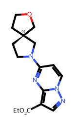 CCOC(=O)c1cnn2ccc(N3CC[C@]4(CCOC4)C3)nc12